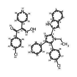 CCn1c(-c2cc3ccccc3[nH]2)nc(-c2ccncc2)c1-c1ccc(Cl)cc1.O=C(/C(=N/O)c1ccncc1)c1ccc(Cl)cc1